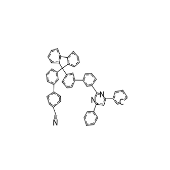 N#Cc1ccc(-c2cccc(C3(c4cccc(-c5cccc(-c6nc(-c7ccccc7)cc(-c7ccccc7)n6)c5)c4)c4ccccc4-c4ccccc43)c2)cc1